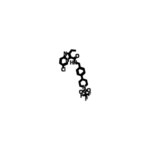 CCc1nc2ccc(Cl)cn2c1C(=O)NCc1ccc(C2CCN(S(=O)(=O)C(F)(F)F)CC2)cc1